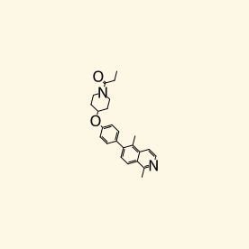 CCC(=O)N1CCC(Oc2ccc(-c3ccc4c(C)nccc4c3C)cc2)CC1